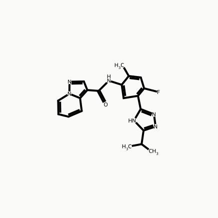 Cc1cc(F)c(-c2nnc(C(C)C)[nH]2)cc1NC(=O)c1cnn2ccccc12